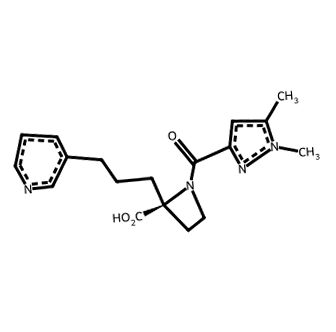 Cc1cc(C(=O)N2CC[C@@]2(CCCc2cccnc2)C(=O)O)nn1C